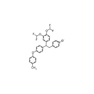 Cc1ccc(Oc2ccc(C(Cc3cc[n+]([O-])cc3)c3ccc(OC(F)F)c(OC(F)F)c3)cc2)cc1